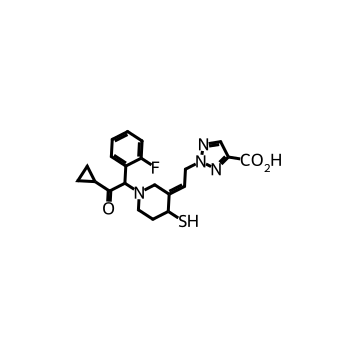 O=C(O)c1cnn(C/C=C2\CN(C(C(=O)C3CC3)c3ccccc3F)CCC2S)n1